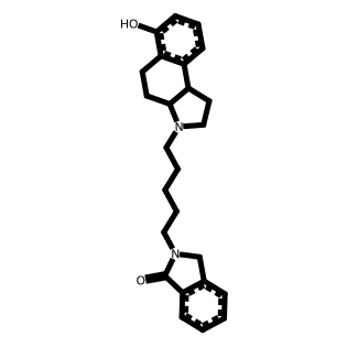 O=C1c2ccccc2CN1CCCCCN1CCC2c3cccc(O)c3CCC21